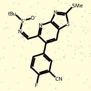 CSc1nc2nc(/C=N\[S+]([O-])C(C)(C)C)c(-c3ccc(F)c(C#N)c3)cc2s1